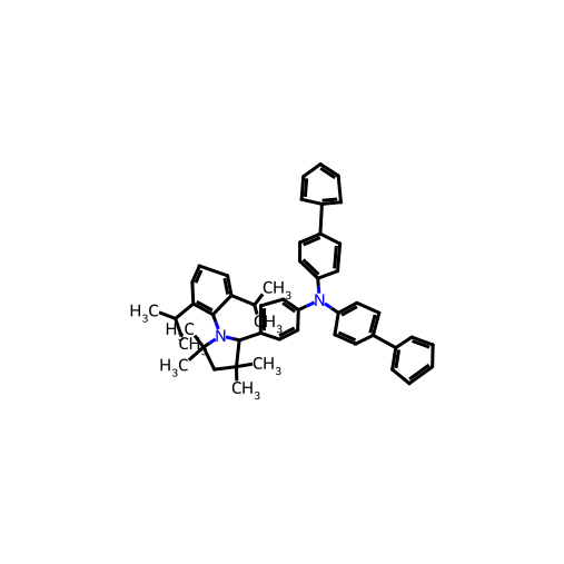 CC(C)c1cccc(C(C)C)c1N1C(c2ccc(N(c3ccc(-c4ccccc4)cc3)c3ccc(-c4ccccc4)cc3)cc2)C(C)(C)CC1(C)C